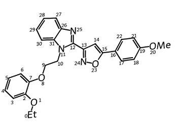 CCOc1ccccc1OCCn1c(-c2cc(-c3ccc(OC)cc3)on2)nc2ccccc21